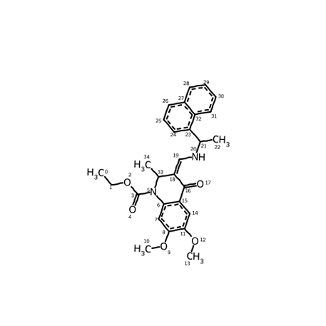 CCOC(=O)N1c2cc(OC)c(OC)cc2C(=O)C(=CNC(C)c2cccc3ccccc23)C1C